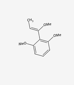 CC=C(OC)c1c(OC)cccc1OC